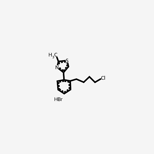 Br.Cc1nc(-c2ccccc2CCCCCl)cs1